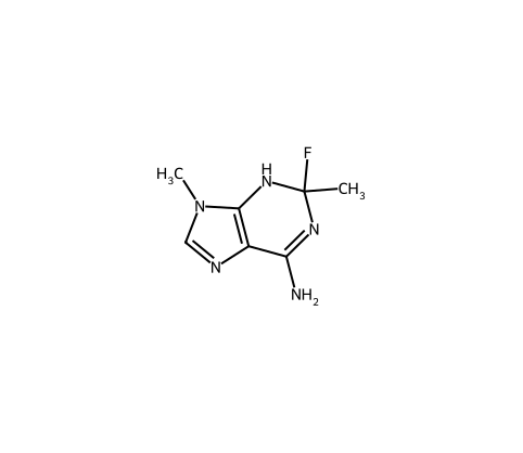 Cn1cnc2c1NC(C)(F)N=C2N